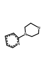 c1ccc(N2CC[N]CC2)nc1